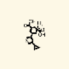 CC1(C(=O)O)C=C(c2cncc(C3CC3)c2)C=C(C(=O)O)C1